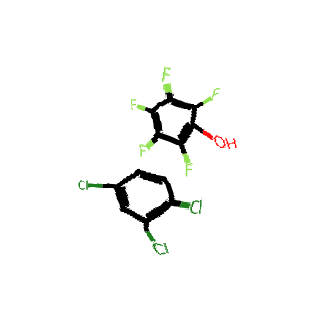 Clc1ccc(Cl)c(Cl)c1.Oc1c(F)c(F)c(F)c(F)c1F